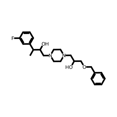 CC(c1cccc(F)c1)C(O)CN1CCN(CC(O)COCc2ccccc2)CC1